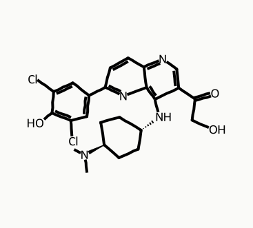 CN(C)[C@H]1CC[C@H](Nc2c(C(=O)CO)cnc3ccc(-c4cc(Cl)c(O)c(Cl)c4)nc23)CC1